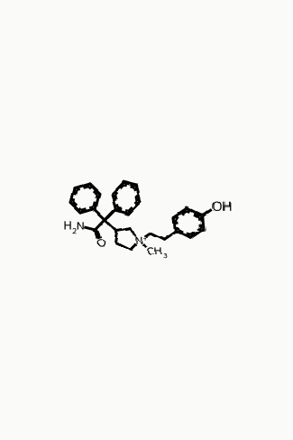 C[N+]1(CCc2ccc(O)cc2)CCC(C(C(N)=O)(c2ccccc2)c2ccccc2)C1